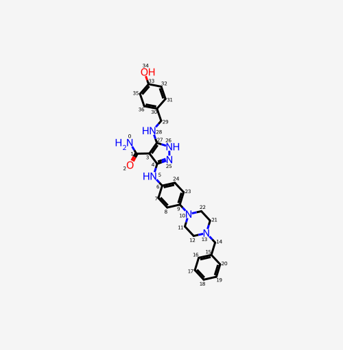 NC(=O)c1c(Nc2ccc(N3CCN(Cc4ccccc4)CC3)cc2)n[nH]c1NCc1ccc(O)cc1